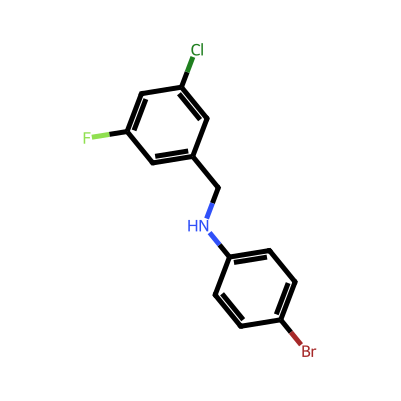 Fc1cc(Cl)cc(CNc2ccc(Br)cc2)c1